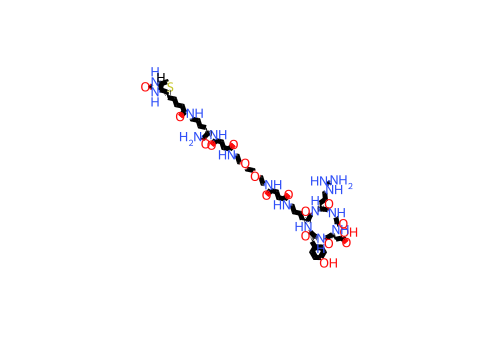 N=C(N)NCCC[C@@H]1NC(=O)[C@H](CCCCNC(=O)CCC(=O)NCCOCCOCCNC(=O)CCC(=O)N[C@@H](CCCCNC(=O)CCCC[C@@H]2SC[C@@H]3NC(=O)NC32)C(N)=O)NC(=O)[C@@H](Cc2ccc(O)cc2)NC(=O)[C@H](CC(=O)O)NC(=O)CNC1=O